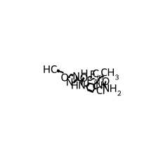 C#CCOc1cnc(C(=O)Nc2ccc(Cl)c([C@]3(C(F)F)N=C(N)OC(C)[C@H]3C)c2)cn1